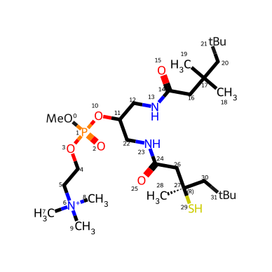 COP(=O)(OCC[N+](C)(C)C)OC(CNC(=O)CC(C)(C)CC(C)(C)C)CNC(=O)C[C@](C)(S)CC(C)(C)C